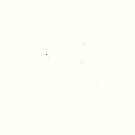 COc1ccccc1C1CCN(c2nc(C3CC3)nc3ccc(N4CC[C@@H](NC(=O)OC(C)(C)C)C4)cc23)CC1